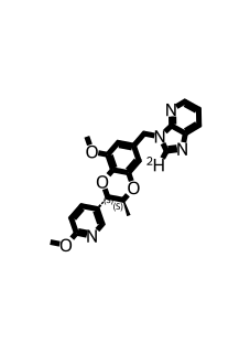 [2H]c1nc2cccnc2n1Cc1cc(OC)c2c(c1)O[C@@H](C)[C@H](c1ccc(OC)nc1)O2